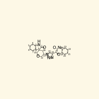 O=C1Nc2ccccc2C12COCC(n1cc(COc3ccccc3[N+](=O)[O-])nn1)C2